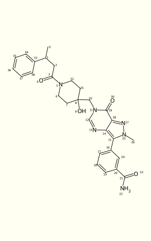 CC(CC(=O)N1CCC(O)(Cn2cnc3c(-c4cccc(C(N)=O)c4)n(C)nc3c2=O)CC1)c1ccccc1